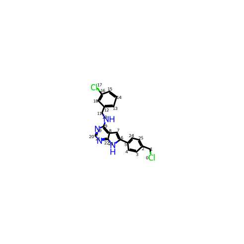 ClCc1ccc(-c2cc3c(NCc4cccc(Cl)c4)ncnc3[nH]2)cc1